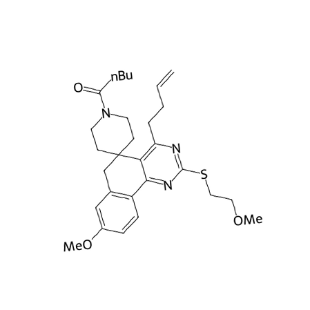 C=CCCc1nc(SCCOC)nc2c1C1(CCN(C(=O)CCCC)CC1)Cc1cc(OC)ccc1-2